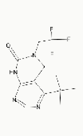 CC(C)(C)c1ncnc2c1CN(CC(F)(F)F)C(=O)N2